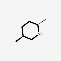 C[C@H]1CC[C@H](C)NC1